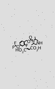 CC1CNCC(C)N1C(=O)OCc1ccc(OC(F)F)cc1F.O=C(O)C=CC(=O)O